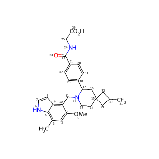 COc1cc(C)c2[nH]ccc2c1CN1CCC2(CC1c1ccc(C(=O)NCC(=O)O)cc1)CC(C(F)(F)F)C2